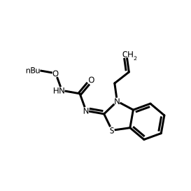 C=CCn1c(=NC(=O)NOCCCC)sc2ccccc21